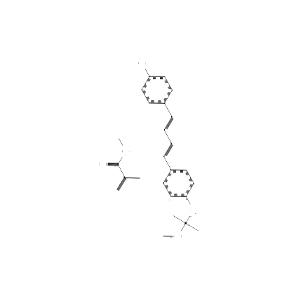 C=C(C)C(=O)OC.COC(C)(C)Oc1ccc(C=CC=Cc2ccc(O)cc2)cc1